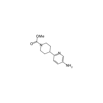 COC(=O)N1CCC(c2ccc(N)cn2)CC1